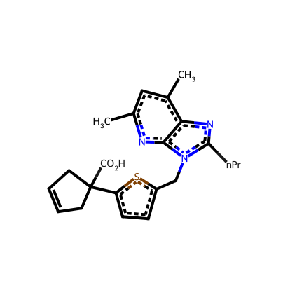 CCCc1nc2c(C)cc(C)nc2n1Cc1ccc(C2(C(=O)O)CC=CC2)s1